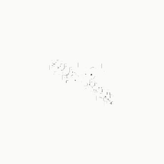 C=C(C)C(=O)OC(CC(F)(F)C(F)(F)C(F)(F)C(F)(F)C(F)(F)C(F)(F)F)C(F)(F)C(F)(F)C(F)(F)C(F)(F)C(F)(F)C(F)(F)F